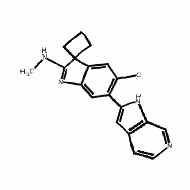 CNC1=Nc2cc(-c3cc4ccncc4[nH]3)c(Cl)cc2C12CCC2